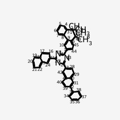 CC1(C)c2ccccc2-c2cc(-c3nc(-c4ccc5ccccc5c4)nc(-c4ccc5cc(-c6ccccc6)ccc5c4)n3)ccc2C1(C)C